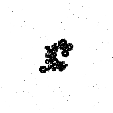 CON=C(C(=O)N[C@@H]1C(=O)N2C(C(=O)OCc3ccccc3)=C(OS(=O)(=O)C(F)(F)F)CC[C@@H]12)c1csc(NCC(c2ccccc2)(c2ccccc2)c2ccccc2)n1